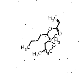 C=CC(=O)OC(CCCC)[Si](C)(CCC)OC